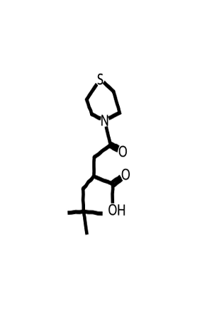 CC(C)(C)CC(CC(=O)N1CCSCC1)C(=O)O